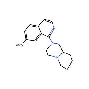 CSc1ccc2ccnc(N3CCN4CCCCC4C3)c2c1